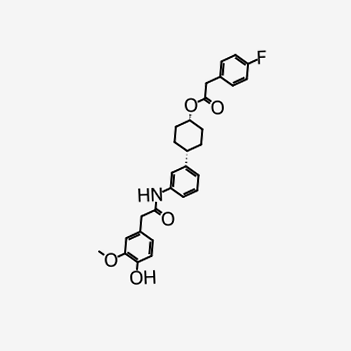 COc1cc(CC(=O)Nc2cccc([C@H]3CC[C@@H](OC(=O)Cc4ccc(F)cc4)CC3)c2)ccc1O